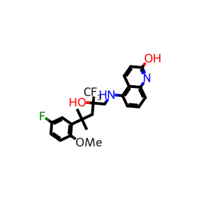 COc1ccc(F)cc1C(C)(C)CC(O)(CNc1cccc2nc(O)ccc12)C(F)(F)F